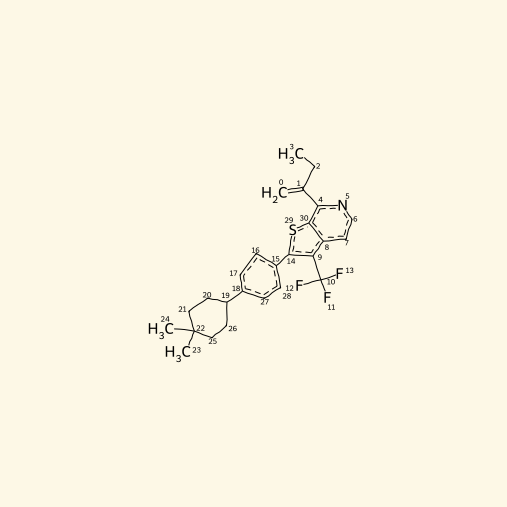 C=C(CC)c1nccc2c(C(F)(F)F)c(-c3ccc(C4CCC(C)(C)CC4)cc3)sc12